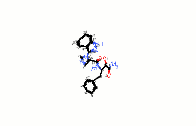 NC(=O)C(=O)C(Cc1ccccc1)NC(=O)c1cncn1-c1n[nH]c2ccccc12